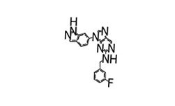 Fc1cccc(CNc2ncc3ncn(-c4ccc5cn[nH]c5c4)c3n2)c1